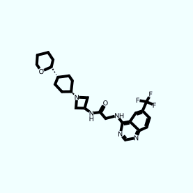 O=C(CNc1ncnc2ccc(C(F)(F)F)cc12)NC1CN([C@H]2CC[C@@H](C3CCCCO3)CC2)C1